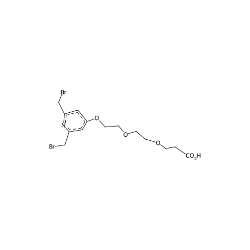 O=C(O)CCOCCOCCOc1cc(CBr)nc(CBr)c1